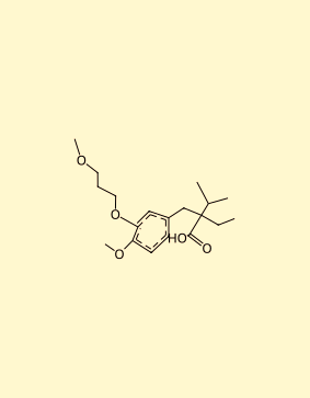 CCC(Cc1ccc(OC)c(OCCCOC)c1)(C(=O)O)C(C)C